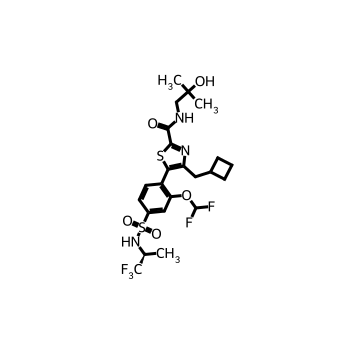 C[C@H](NS(=O)(=O)c1ccc(-c2sc(C(=O)NCC(C)(C)O)nc2CC2CCC2)c(OC(F)F)c1)C(F)(F)F